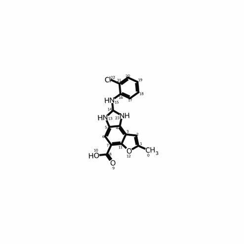 Cc1cc2c3c(cc(C(=O)O)c2o1)NC(Nc1ccccc1Cl)N3